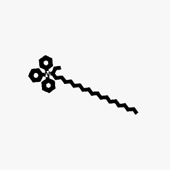 CCCCCCCCCCCCCCCCCCCC(CC)[N+](c1ccccc1)(c1ccccc1)c1ccccc1